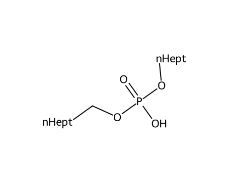 CCCCCCCCOP(=O)(O)OCCCCCCC